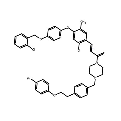 Cc1cc(/C=C/C(=O)N2CCN(Cc3ccc(CCOc4ccc(C(C)C)cc4)cc3)CC2)c(Cl)cc1Oc1ccc(OCc2ccccc2Cl)cn1